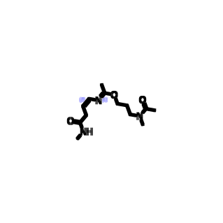 CNC(=O)C/C=C\N=C(/C)OCCCN(C)C(C)=O